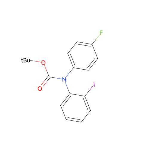 CC(C)(C)OC(=O)N(c1ccc(F)cc1)c1ccccc1I